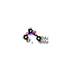 COc1ccc(/C=C/C(=O)Nc2ccccc2COc2cccc(C(F)(F)F)c2)cc1OC(C)=O